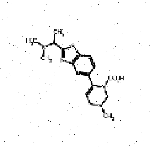 CC(c1nc2cc(C3=CC[C@H](C)CN3C(=O)O)ccc2s1)N(C)C